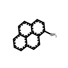 [BiH2][c]1ccc2ccc3cccc4ccc1c2c34